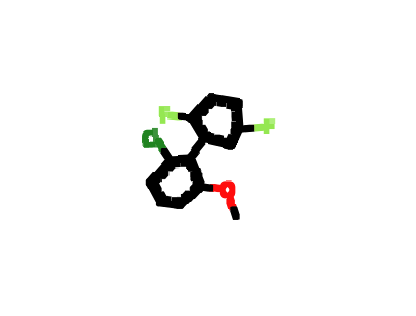 COc1cccc(Cl)c1-c1cc(F)ccc1F